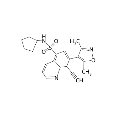 C#CC1C(c2c(C)noc2C)=CC(S(=O)(=O)NC2CCCC2)=C2C=CC=NC21